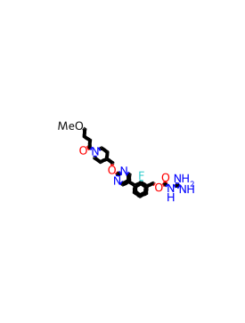 COCCCC(=O)N1CCC(COc2ncc(-c3cccc(COC(=O)NC(=N)N)c3F)cn2)CC1